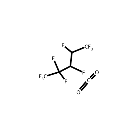 FC(C(F)C(F)(F)C(F)(F)F)C(F)(F)F.O=C=O